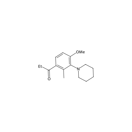 CCC(=O)c1ccc(OC)c(N2CCCCC2)c1C